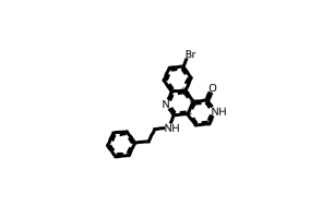 O=c1[nH]ccc2c(NCCc3ccccc3)nc3ccc(Br)cc3c12